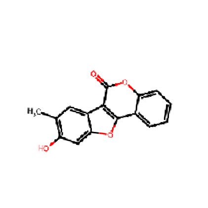 Cc1cc2c(cc1O)oc1c3ccccc3oc(=O)c21